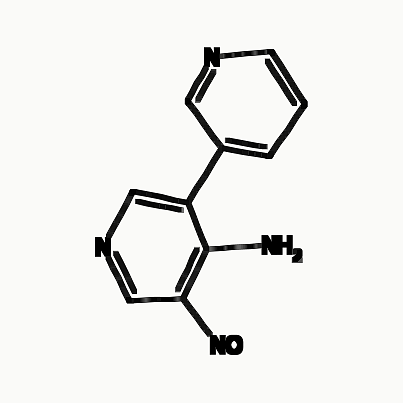 Nc1c(N=O)cncc1-c1cccnc1